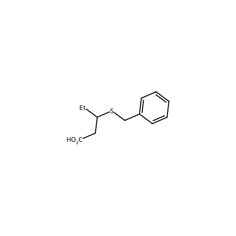 CCC(CC(=O)O)SCc1ccccc1